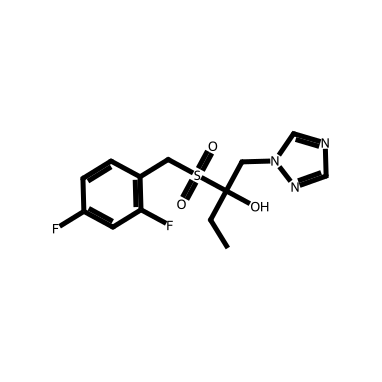 CCC(O)(Cn1cncn1)S(=O)(=O)Cc1ccc(F)cc1F